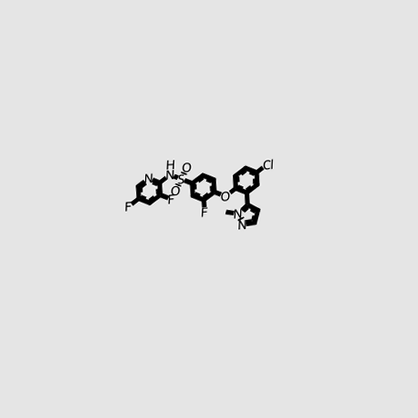 Cn1nccc1-c1cc(Cl)ccc1Oc1ccc(S(=O)(=O)Nc2ncc(F)cc2F)cc1F